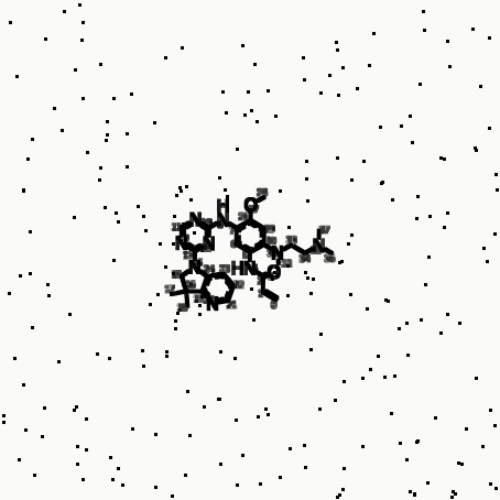 C=CC(=O)Nc1cc(Nc2ncnc(N3CC(C)(C)c4ncccc43)n2)c(OC)cc1N(C)CCN(C)C